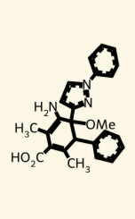 COC1(c2ccn(-c3ccccc3)n2)C(N)=C(C)C(C(=O)O)=C(C)C1c1ccccc1